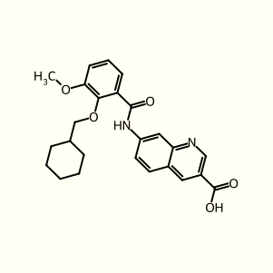 COc1cccc(C(=O)Nc2ccc3cc(C(=O)O)cnc3c2)c1OCC1CCCCC1